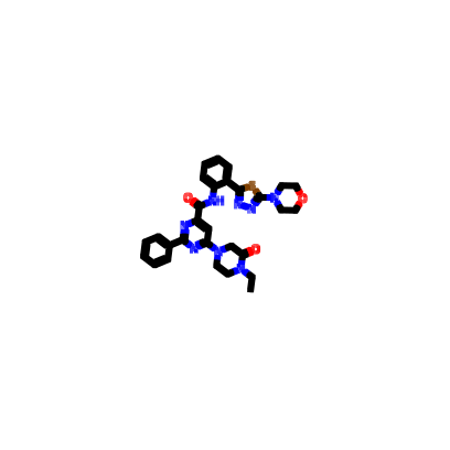 CCN1CCN(c2cc(C(=O)Nc3ccccc3-c3nnc(N4CCOCC4)s3)nc(-c3ccccc3)n2)CC1=O